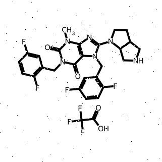 Cn1c(=O)n(Cc2cc(F)ccc2F)c(=O)c2c1nc(N1CCC3CNCC31)n2Cc1cc(F)ccc1F.O=C(O)C(F)(F)F